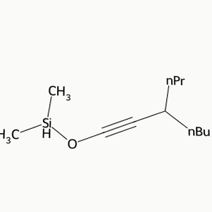 CCCCC(C#CO[SiH](C)C)CCC